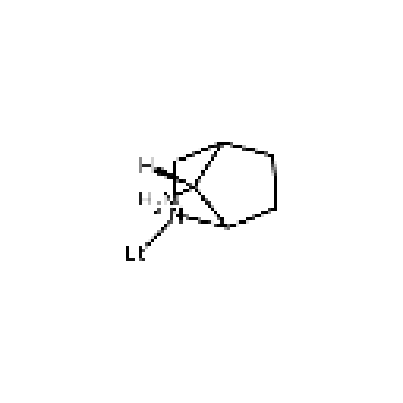 CCN1CC2CCC1[C@@H]2N